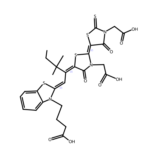 CCC(C)(C)C(/C=C1\Sc2ccccc2N1CCCC(=O)O)=c1\s/c(=C2\SC(=S)N(CC(=O)O)C2=O)n(CC(=O)O)c1=O